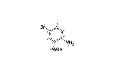 CNc1cc(Br)ncc1N